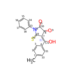 Cc1ccc(/C(O)=C2/C(=O)C(=O)N(c3ccccc3)C2=S)cc1